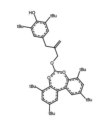 C=C(COp1oc2c(C(C)(C)C)cc(C(C)(C)C)cc2c2cc(C(C)(C)C)cc(C(C)(C)C)c2o1)Cc1cc(C(C)(C)C)c(O)c(C(C)(C)C)c1